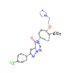 COc1cc(-n2cnn3nc(-c4ccc(Cl)cc4)cc3c2=O)ccc1OCCN1CCCC1